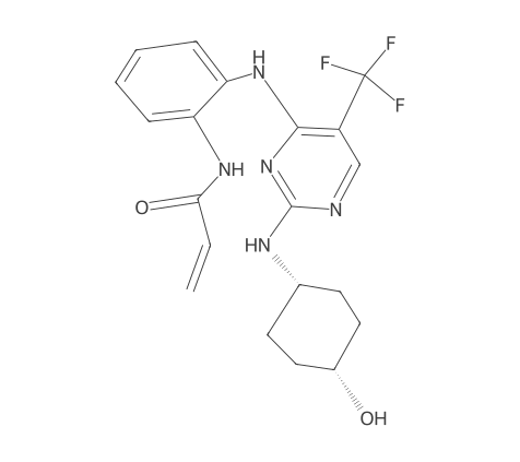 C=CC(=O)Nc1ccccc1Nc1nc(N[C@H]2CC[C@@H](O)CC2)ncc1C(F)(F)F